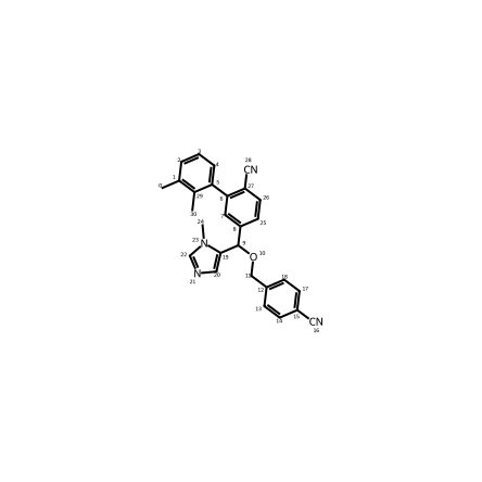 Cc1cccc(-c2cc(C(OCc3ccc(C#N)cc3)c3cncn3C)ccc2C#N)c1C